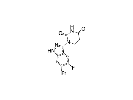 CC(C)c1cc2[nH]nc(N3CCC(=O)NC3=O)c2cc1F